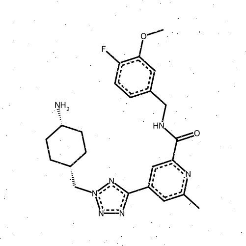 COc1cc(CNC(=O)c2cc(-c3nnn(C[C@H]4CC[C@@H](N)CC4)n3)cc(C)n2)ccc1F